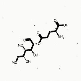 N[C@@H](CCC(=O)O[C@@H](C=O)[C@@H](O)[C@H](O)[C@H](O)CO)C(=O)O